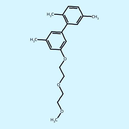 COCCOCCOc1cc(C)cc(-c2cc(C)ccc2C)c1